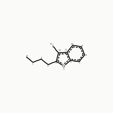 CCCCc1oc2ccccc2c1I